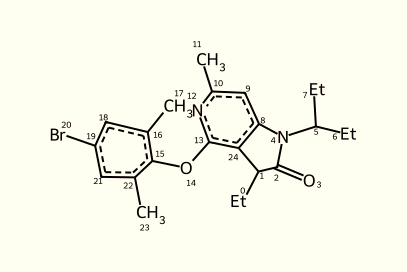 CCC1C(=O)N(C(CC)CC)c2cc(C)nc(Oc3c(C)cc(Br)cc3C)c21